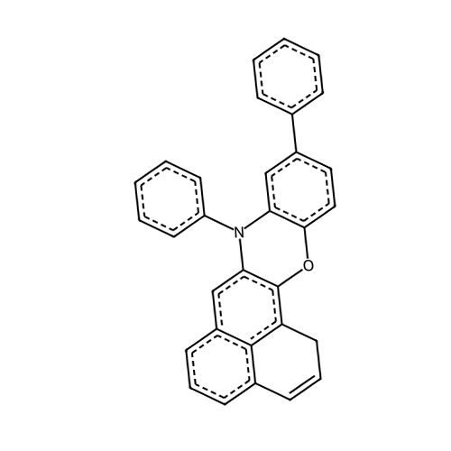 C1=Cc2cccc3cc4c(c(c23)C1)Oc1ccc(-c2ccccc2)cc1N4c1ccccc1